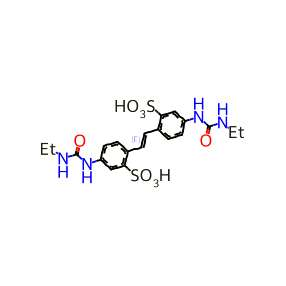 CCNC(=O)Nc1ccc(/C=C/c2ccc(NC(=O)NCC)cc2S(=O)(=O)O)c(S(=O)(=O)O)c1